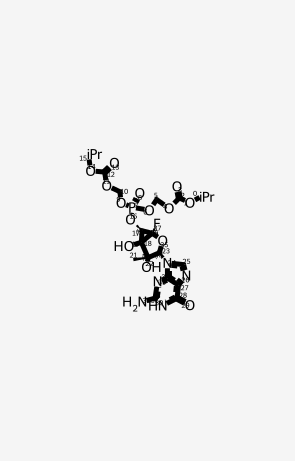 CC(C)OC(=O)OCOP(=O)(OCOC(=O)OC(C)C)O[C@H]1C2(O)[C@@](C)(O)[C@H](n3cnc4c(=O)[nH]c(N)nc43)O[C@]12F